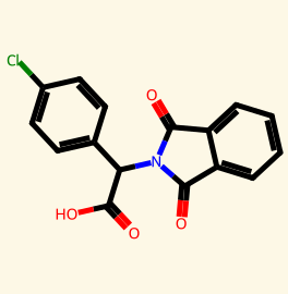 O=C(O)C(c1ccc(Cl)cc1)N1C(=O)c2ccccc2C1=O